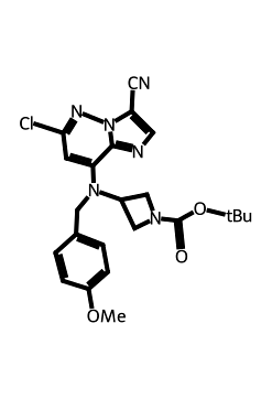 COc1ccc(CN(c2cc(Cl)nn3c(C#N)cnc23)C2CN(C(=O)OC(C)(C)C)C2)cc1